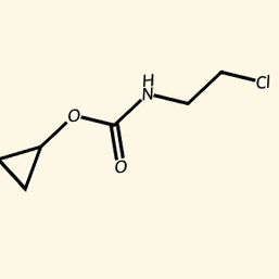 O=C(NCCCl)OC1CC1